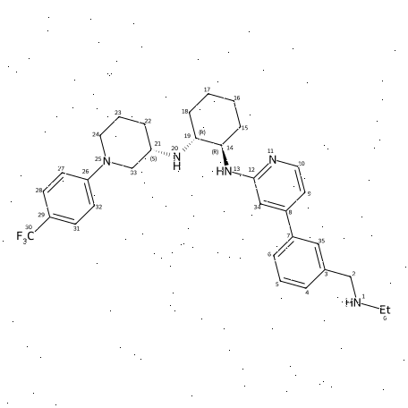 CCNCc1cccc(-c2ccnc(N[C@@H]3CCCC[C@H]3N[C@H]3CCCN(c4ccc(C(F)(F)F)cc4)C3)c2)c1